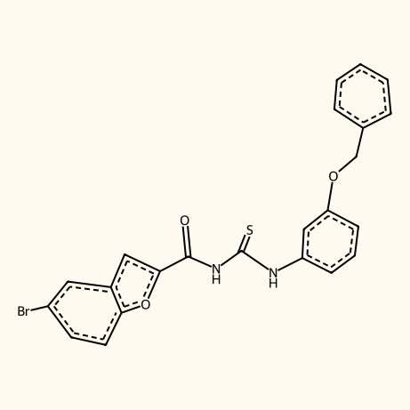 O=C(NC(=S)Nc1cccc(OCc2ccccc2)c1)c1cc2cc(Br)ccc2o1